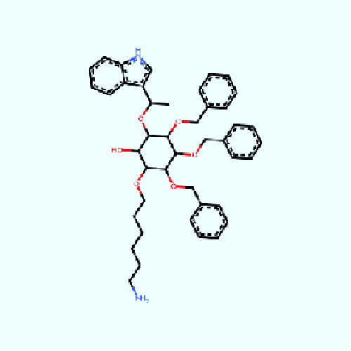 CC(OC1C(O)C(OCCCCCCN)C(OCc2ccccc2)C(OCc2ccccc2)C1OCc1ccccc1)c1c[nH]c2ccccc12